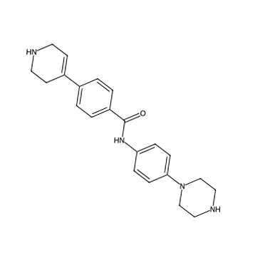 O=C(Nc1ccc(N2CCNCC2)cc1)c1ccc(C2=CCNCC2)cc1